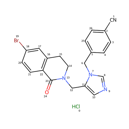 Cl.N#Cc1ccc(Cn2cncc2CN2CCc3cc(Br)ccc3C2=O)cc1